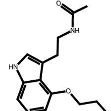 CCCOc1cccc2[nH]cc(CCNC(C)=O)c12